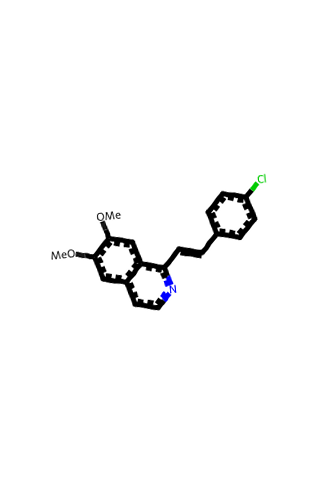 COc1cc2ccnc(C=Cc3ccc(Cl)cc3)c2cc1OC